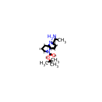 CC(N)c1ccc2c(n1)CCCN2C(=O)OC(C)(C)C